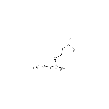 CCCOC[C@H](CC)OCCN(C)C